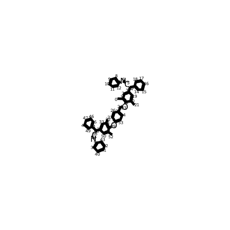 Cc1cc(C(=C=Nc2ccccc2)c2ccccc2)cc(C)c1OCc1ccc(Oc2c(C)cc(C(=C=Nc3ccccc3)c3ccccc3)cc2C)cc1